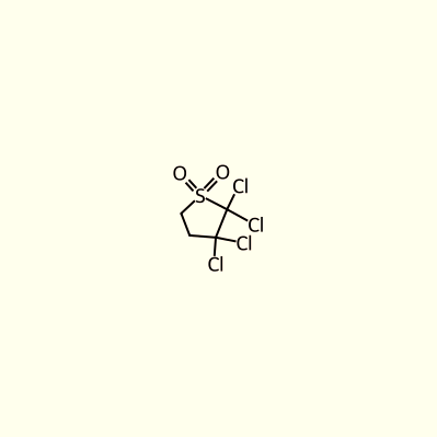 O=S1(=O)CCC(Cl)(Cl)C1(Cl)Cl